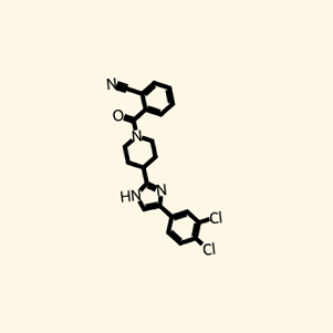 N#Cc1ccccc1C(=O)N1CCC(c2nc(-c3ccc(Cl)c(Cl)c3)c[nH]2)CC1